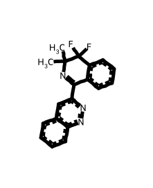 CC1(C)N=C(c2cc3ccccc3nn2)c2ccccc2C1(F)F